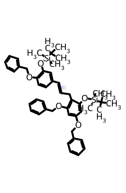 CC(C)(C)[Si](C)(C)Oc1cc(/C=C/Cc2c(OCc3ccccc3)cc(OCc3ccccc3)cc2O[Si](C)(C)C(C)(C)C)ccc1OCc1ccccc1